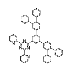 c1ccc(-c2ccc(-c3cc(-c4ccc(-c5ccccc5)c(-c5ccccc5)c4)cc(-c4nc(-c5ccccn5)nc(-c5ccccn5)n4)c3)cc2-c2ccccc2)cc1